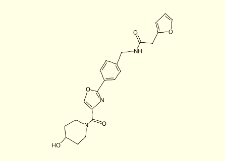 O=C(Cc1ccco1)NCc1ccc(-c2nc(C(=O)N3CCC(O)CC3)co2)cc1